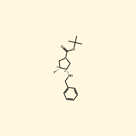 CC(C)(C)OC(=O)N1C[C@@H](F)[C@@H](NCc2ccccc2)C1